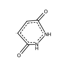 O=c1[c]cc(=O)[nH][nH]1